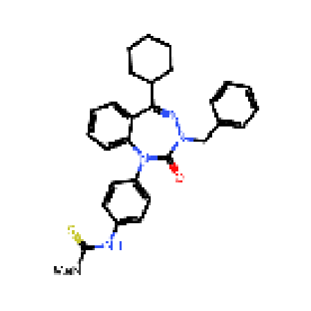 CNC(=S)Nc1ccc(N2C(=O)N(Cc3ccccc3)N=C(C3CCCCC3)c3ccccc32)cc1